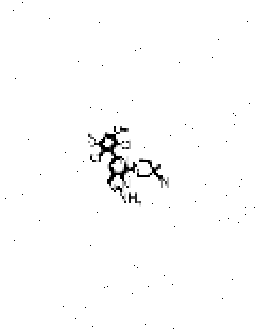 COc1cc(OC)c(Cl)c(-c2cc3cnc(N)nc3c(N3CCC(C)(C#N)CC3)n2)c1Cl